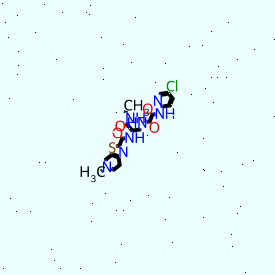 CCNC(=O)C(CNC(=O)C(=O)Nc1ccc(Cl)cn1)NC(=O)c1nc2c(s1)CN(C)CC2